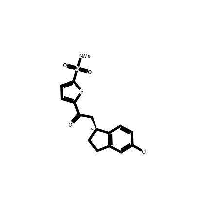 CNS(=O)(=O)c1ccc(C(=O)C[C@@H]2CCc3cc(Cl)ccc32)s1